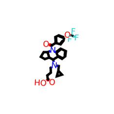 O=C(O)CCCN(CC1CC1)C1c2ccccc2N(C(=O)c2ccc(OC(F)(F)F)cc2)C2CCCC12